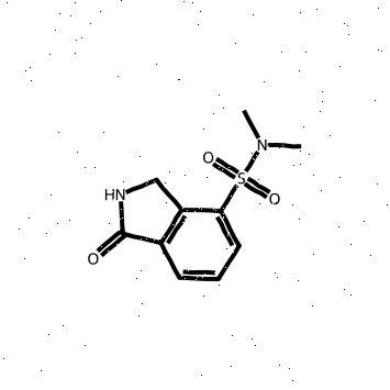 CN(C)S(=O)(=O)c1cccc2c1CNC2=O